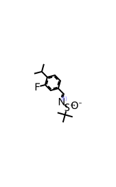 CC(C)c1ccc(/C=N/[S+]([O-])C(C)(C)C)cc1F